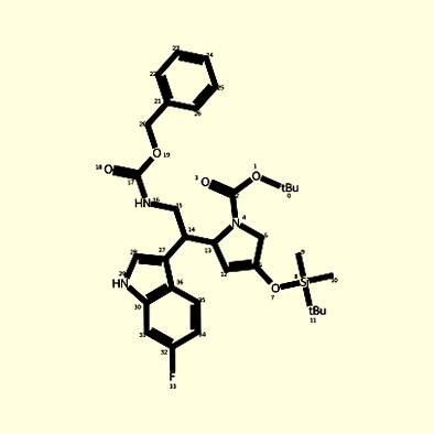 CC(C)(C)OC(=O)N1CC(O[Si](C)(C)C(C)(C)C)=CC1C(CNC(=O)OCc1ccccc1)c1c[nH]c2cc(F)ccc12